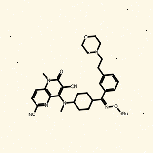 CN(c1c(C#N)c(=O)n(C)c2ccc(C#N)nc12)C1CCC(/C(=N/OC(C)(C)C)c2cccc(CCN3CCOCC3)c2)CC1